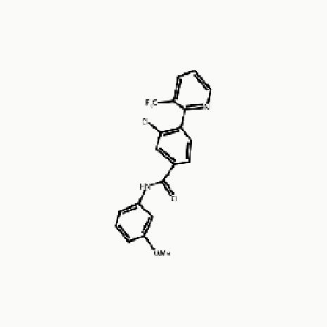 COc1cccc(NC(=O)c2ccc(-c3ncccc3C(F)(F)F)c(Cl)c2)c1